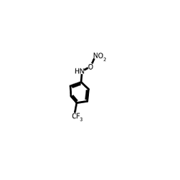 O=[N+]([O-])ONc1ccc(C(F)(F)F)cc1